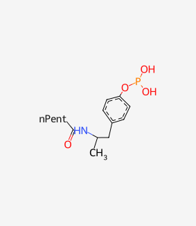 CCCCCC(=O)NC(C)Cc1ccc(OP(O)O)cc1